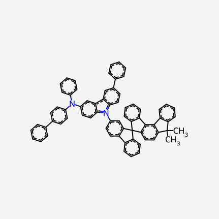 CC1(C)c2ccccc2-c2c1ccc1c2-c2ccccc2C12c1ccccc1-c1ccc(-n3c4ccc(-c5ccccc5)cc4c4cc(N(c5ccccc5)c5ccc(-c6ccccc6)cc5)ccc43)cc12